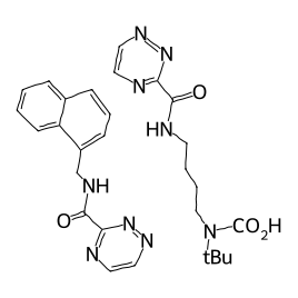 CC(C)(C)N(CCCCNC(=O)c1nccnn1)C(=O)O.O=C(NCc1cccc2ccccc12)c1nccnn1